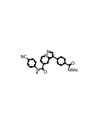 CNC(=O)c1ccc(-c2cnn3ccc(C(=O)N(C)c4ccc(C#N)cc4)cc23)cc1